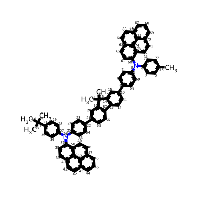 Cc1ccc(N(c2ccc(-c3ccc4c(c3)C(C)(C)c3cc(-c5ccc(N(c6ccc(C(C)(C)C)cc6)c6ccc7ccc8cccc9ccc6c7c89)cc5)ccc3-4)cc2)c2ccc3ccc4cccc5ccc2c3c45)cc1